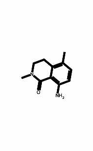 Cc1ccc(N)c2c1CCN(C)C2=O